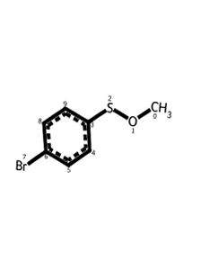 COSc1ccc(Br)cc1